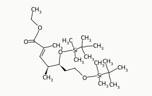 CCOC(=O)/C(C)=C/[C@H](C)[C@H](CCO[Si](C)(C)C(C)(C)C)O[Si](C)(C)C(C)(C)C